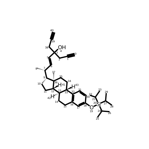 C#CCC(O)(C=C[C@@H](C)[C@H]1CC[C@H]2[C@@H]3CCc4cc(O[Si](C(C)C)(C(C)C)C(C)C)ccc4[C@H]3CC[C@]12C)CC#C